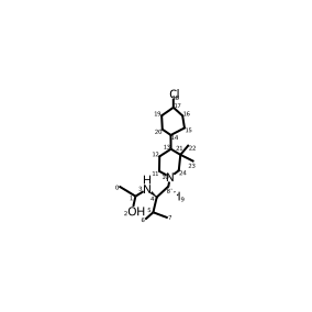 CC(O)N[C@H](C(C)C)[C@@H](I)N1CCC(C2CCC(Cl)CC2)C(C)(C)C1